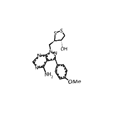 COc1ccc(-c2nn(C[C@H]3SSC[C@@H]3O)c3ncnc(N)c23)cc1